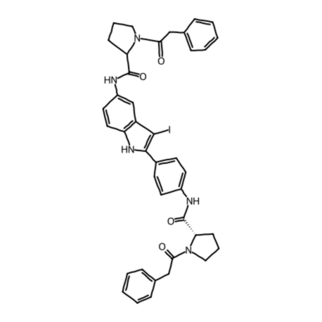 O=C(Nc1ccc2[nH]c(-c3ccc(NC(=O)[C@@H]4CCCN4C(=O)Cc4ccccc4)cc3)c(I)c2c1)C1CCCN1C(=O)Cc1ccccc1